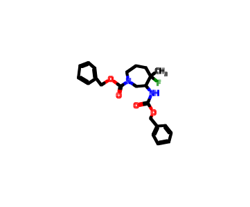 CC1(F)CCCN(C(=O)OCc2ccccc2)CC1NC(=O)OCc1ccccc1